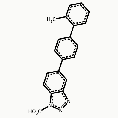 Cc1ccccc1-c1ccc(-c2ccc3c(c2)nnn3C(=O)O)cc1